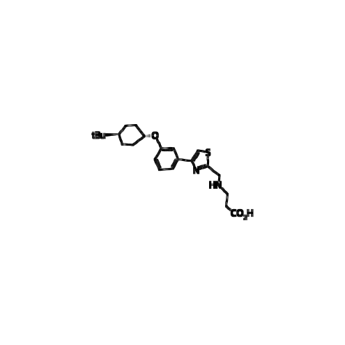 CC(C)(C)[C@H]1CC[C@H](Oc2cccc(-c3csc(CNCCC(=O)O)n3)c2)CC1